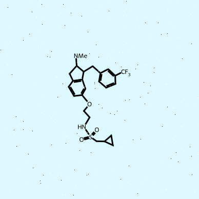 CNC1Cc2ccc(OCCNS(=O)(=O)CC3CC3)cc2C1Cc1cccc(C(F)(F)F)c1